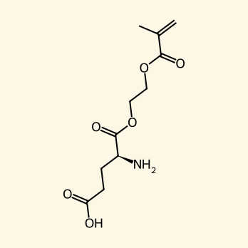 C=C(C)C(=O)OCCOC(=O)[C@@H](N)CCC(=O)O